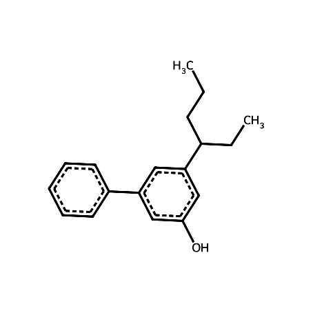 CCCC(CC)c1cc(O)cc(-c2ccccc2)c1